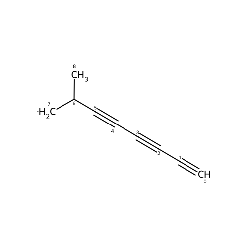 C#CC#CC#CC([CH2])C